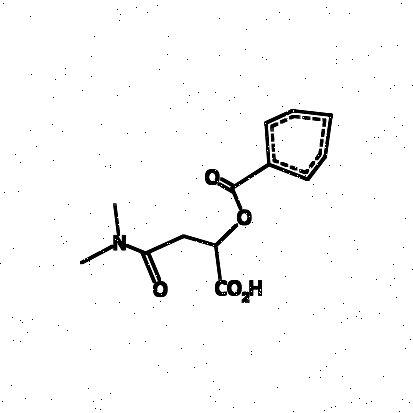 CN(C)C(=O)CC(OC(=O)c1ccccc1)C(=O)O